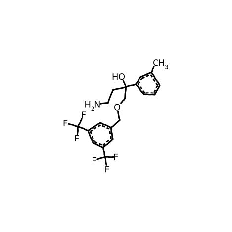 Cc1cccc(C(O)(CCN)COCc2cc(C(F)(F)F)cc(C(F)(F)F)c2)c1